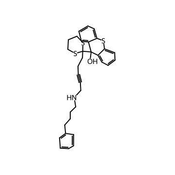 OC1(C2(CCC#CCNCCCCc3ccccc3)SCCCS2)c2ccccc2Sc2ccccc21